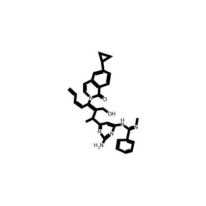 C=C/C=C\C(=C(\CO)C(C)c1cc(N/C(=N\C)c2ccccc2)nc(N)n1)n1ccc2cc(C3CC3)ccc2c1=O